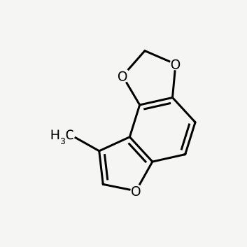 Cc1coc2ccc3c(c12)OCO3